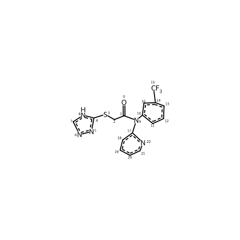 O=C(CSc1nnc[nH]1)N(c1cccc(C(F)(F)F)c1)c1ccccn1